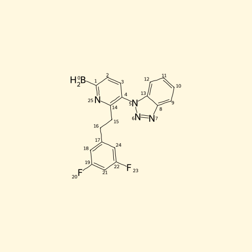 Bc1ccc(-n2nnc3ccccc32)c(CCc2cc(F)cc(F)c2)n1